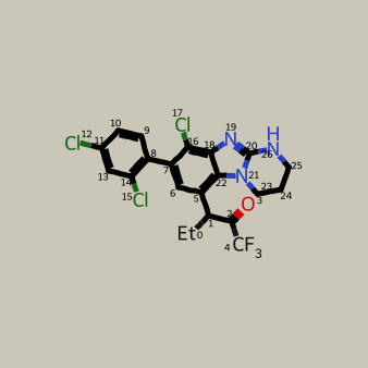 CCC(C(=O)C(F)(F)F)c1cc(-c2ccc(Cl)cc2Cl)c(Cl)c2nc3n(c12)CCCN3